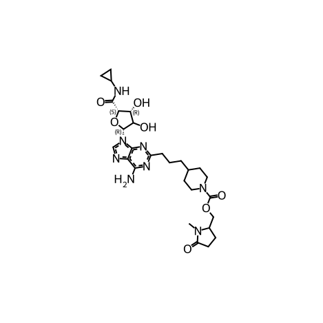 CN1C(=O)CCC1COC(=O)N1CCC(CCCc2nc(N)c3ncn([C@@H]4O[C@H](C(=O)NC5CC5)[C@H](O)C4O)c3n2)CC1